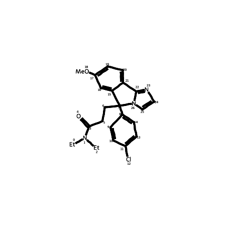 CCN(CC)C(=O)CCC1(c2ccc(Cl)cc2)c2cc(OC)ccc2-c2nccn21